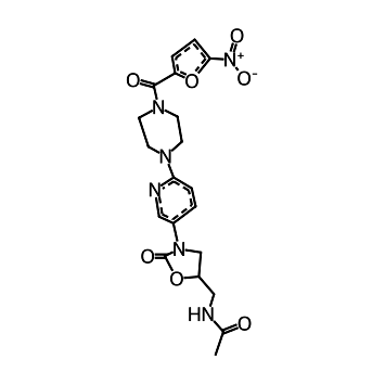 CC(=O)NCC1CN(c2ccc(N3CCN(C(=O)c4ccc([N+](=O)[O-])o4)CC3)nc2)C(=O)O1